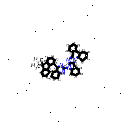 CC1(C)c2ccccc2-c2c(-c3nc(-n4c5ccccc5c5c4nc4c6ccccc6c6ccccc6n45)nc4ccccc34)cccc21